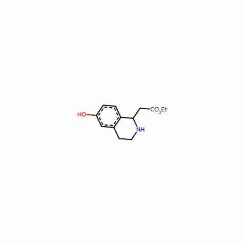 CCOC(=O)CC1NCCc2cc(O)ccc21